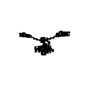 C=CC[N+](C)(CCCCCCCCCCCCCCCCCC)CCCCCCCCCCCCCCCCCCC.CC(O)CO.[Cl-]